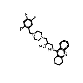 OC(CNc1c2c(nc3ccccc13)CCCC2)CN1CCN(Cc2cc(F)c(F)cc2F)CC1